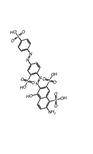 Nc1ccc2c(O)c(/N=N/c3ccc(/N=N/c4ccc(S(=O)(=O)O)cc4)cc3S(=O)(=O)O)c(S(=O)(=O)O)cc2c1S(=O)(=O)O